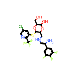 N/C(=C\NCC1OC(O)C(CO)OC1Sc1cc(Cl)cnc1C(F)(F)F)c1cc(F)c(F)c(F)c1